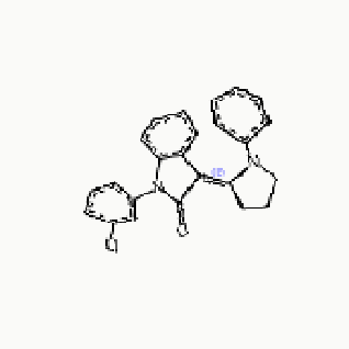 O=C1/C(=C2\CCCN2c2ccccc2)c2ccccc2N1c1cccc(Cl)c1